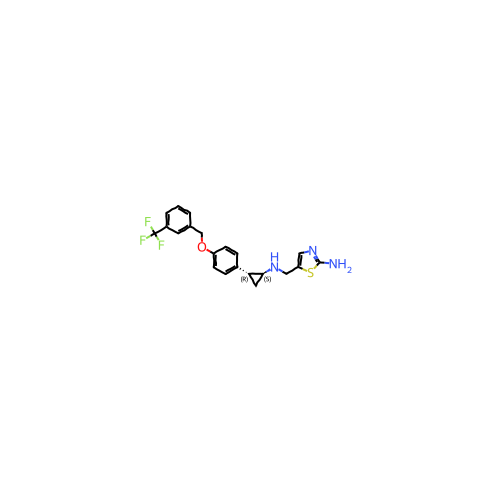 Nc1ncc(CN[C@H]2C[C@@H]2c2ccc(OCc3cccc(C(F)(F)F)c3)cc2)s1